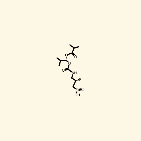 CC(C)C(=O)O[C@H](OC(=O)NC[C@@H](F)CS(=O)O)C(C)C